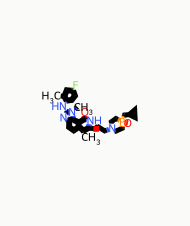 Cc1cc(F)ccc1Nc1nc2ccc3c(C)c(/C=C/CN4CCP(=O)(CC5CC5)CC4)[nH]c(=O)c3c2n1C